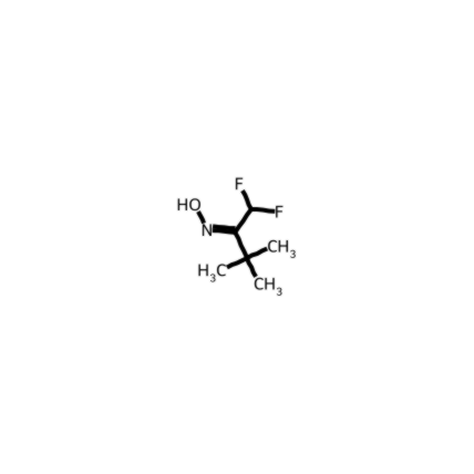 CC(C)(C)C(=NO)C(F)F